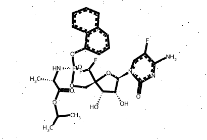 CC(C)OC(=O)[C@H](C)N[P@](=O)(OC[C@@]1(C(F)F)O[C@@H](n2cc(F)c(N)nc2=O)[C@H](O)[C@@H]1O)Oc1cccc2ccccc12